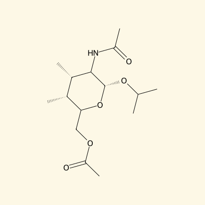 CC(=O)NC1[C@H](OC(C)C)OC(COC(C)=O)[C@H](C)[C@@H]1C